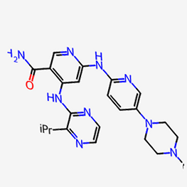 CC(C)c1nccnc1Nc1cc(Nc2ccc(N3CCN(C)CC3)cn2)ncc1C(N)=O